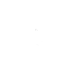 C1CCC2NCCCC2C1.CC[N+]1(CC)C(C)CCC2CCCCC21